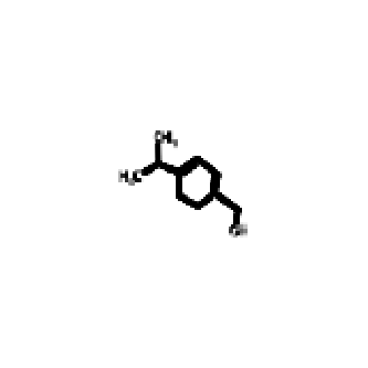 CC(C)C1=CC=C(CO)CC1